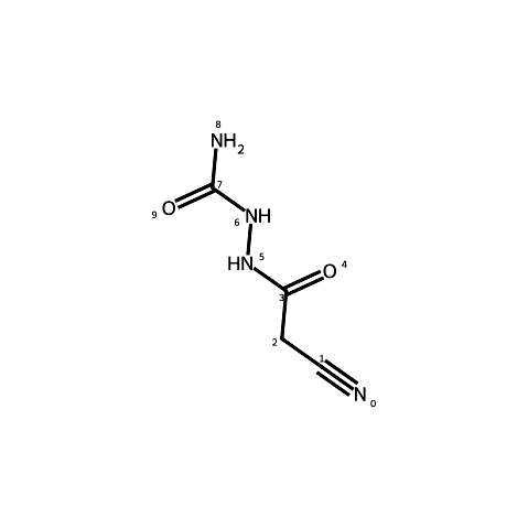 N#CCC(=O)NNC(N)=O